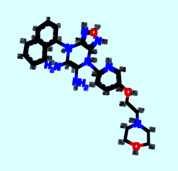 NC1=C(N)N(c2cccc3ccccc23)c2nonc2N1c1ccc(OCCN2CCOCC2)cn1